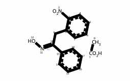 CC(=O)O.O=[N+]([O-])c1ccccc1C/C(=N\O)c1ccccc1